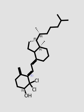 C=C1CC[C@H](O)C(Cl)(Cl)/C1=C/C=C1CCC[C@@]2(C)C1CC[C@@H]2[C@H](C)CCCC(C)C